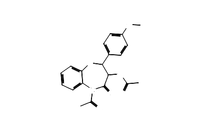 COc1ccc(C2Sc3ccccc3N(C(C)=O)C(=O)C2OC(C)=O)cc1